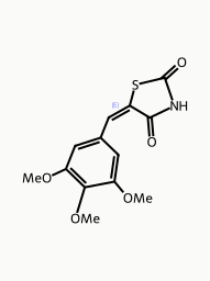 COc1cc(/C=C2/SC(=O)NC2=O)cc(OC)c1OC